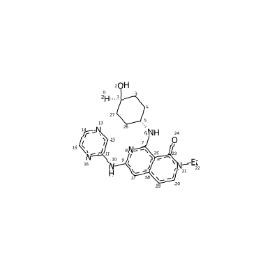 [2H][C@]1(O)CC[C@H](Nc2nc(Nc3cnccn3)cc3ccn(CC)c(=O)c23)CC1